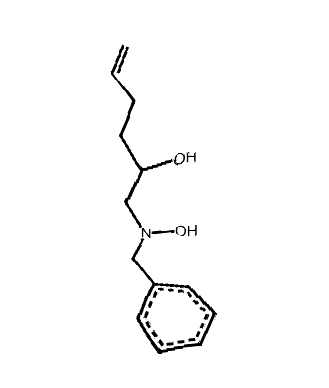 C=CCCC(O)CN(O)Cc1ccccc1